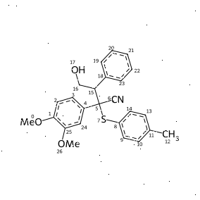 COc1ccc(C(C#N)(Sc2ccc(C)cc2)C(CO)c2ccccc2)cc1OC